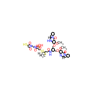 COc1cc2c(cc1OCc1cc(COc3cc4c(cc3OC)C(=O)N3c5ccccc5C[C@H]3CN4)cc(NC(=O)CC[C@@](C)(SC)SSCCC(C(=O)NCCN3C(=O)CC(S)C3=O)S(=O)(=O)O)c1)N=C[C@H]1Cc3ccccc3N1C2=O